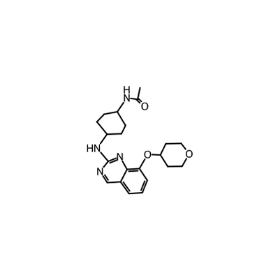 CC(=O)NC1CCC(Nc2ncc3cccc(OC4CCOCC4)c3n2)CC1